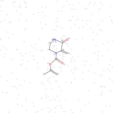 C=C(C)OC(=O)N1CCNC(=O)C1=C